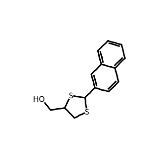 OCC1CSC(c2ccc3ccccc3c2)S1